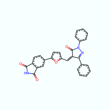 O=C1NC(=O)c2cc(-c3ccc(C=C4C(=O)N(c5ccccc5)N=C4c4ccccc4)o3)ccc21